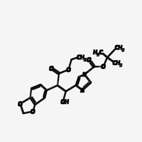 CCOC(=O)C(c1ccc2c(c1)OCO2)C(O)c1cn(C(=O)OC(C)(C)C)cn1